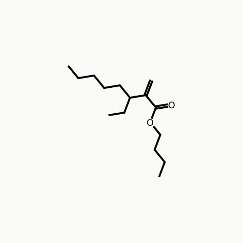 C=C(C(=O)OCCCC)C(CC)CCCCC